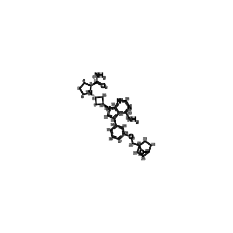 NC(=O)[C@@H]1CCCN1[C@H]1C[C@H](n2cc(-c3cccc(OCC45CCC(CC4)O5)c3)c3c(N)ncnc32)C1